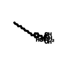 CCCCCCCCCCCCc1ccc(CC(O)C(N)(CO)CO)cc1